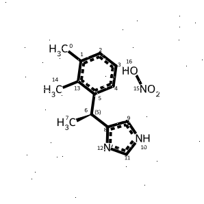 Cc1cccc([C@H](C)c2c[nH]cn2)c1C.O=[N+]([O-])O